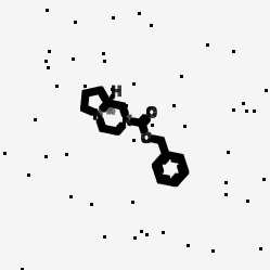 O=C(OCc1ccccc1)N1CCN2CCC[C@H]2C1